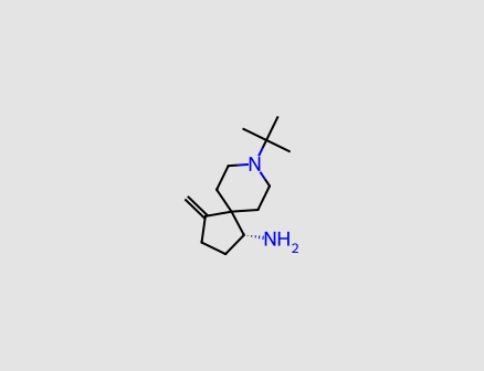 C=C1CC[C@@H](N)C12CCN(C(C)(C)C)CC2